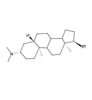 CC(C)[C@@H]1CCC2C3CC[C@H]4C[C@@H](N(C)C)CC[C@]4(C)C3CC[C@@]21C